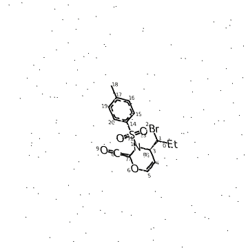 CCC(Br)[C@H]1C=COC(=C=O)N1S(=O)(=O)c1ccc(C)cc1